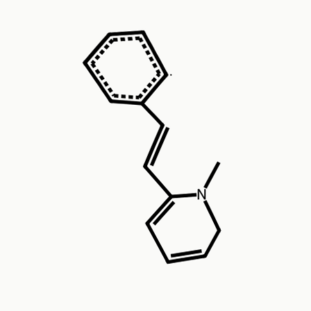 CN1CC=CC=C1C=Cc1[c]cccc1